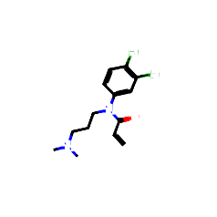 C=CC(=O)N(CCCN(C)C)c1ccc(Br)c(Br)c1